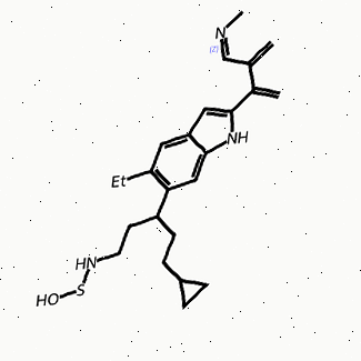 C=C(/C=N\C)C(=C)c1cc2cc(CC)c(C(CCNSO)CCC3CC3)cc2[nH]1